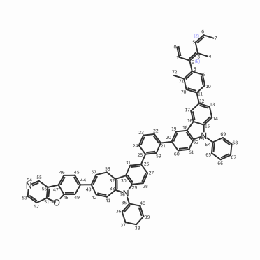 C=C/C(=C(C)\C=C/C)c1ccc(-c2ccc3c(c2)c2cc(-c4cccc(-c5ccc6c(c5)c5c(n6C6=CCCC=C6)C=CC(c6ccc7c(c6)oc6ccncc67)=CC5)c4)ccc2n3-c2ccccc2)cc1C